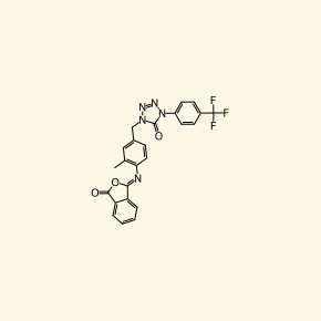 Cc1cc(Cn2nnn(-c3ccc(C(F)(F)F)cc3)c2=O)ccc1N=C1OC(=O)c2ccccc21